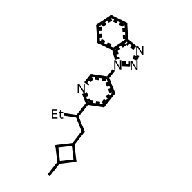 CCC(CC1CC(C)C1)c1ccc(-n2nnc3ccccc32)cn1